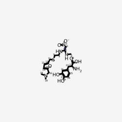 CN/C(=C/[N+](=O)[O-])NCCSCc1ccc(CN(C)C)o1.NC(Cc1ccc(O)c(O)c1)C(=O)O